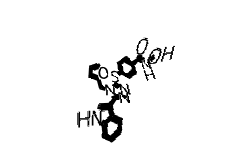 O=C(NO)c1ccc(Sc2nnc(-c3c[nH]c4ccccc34)n2Cc2ccco2)cc1